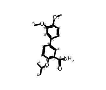 COc1ccc(-c2ccc(OC(C)C)c(C(N)=O)c2)cc1OC